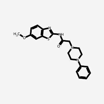 COc1ccc2nc(NC(=O)CN3CCN(c4ccccc4)CC3)sc2c1